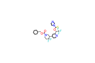 O=C(OCc1ccccc1)N1CCC(F)(F)C(c2ccnc(C(OC(=S)n3ccnc3)C(F)(F)F)c2)C1